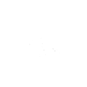 N[C@H](O)c1cccc(OC2CCCC2)c1